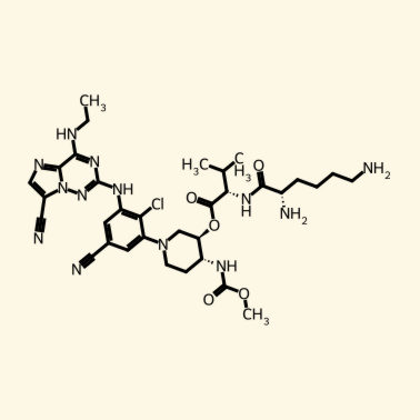 CCNc1nc(Nc2cc(C#N)cc(N3CC[C@@H](NC(=O)OC)[C@H](OC(=O)[C@@H](NC(=O)[C@@H](N)CCCCN)C(C)C)C3)c2Cl)nn2c(C#N)cnc12